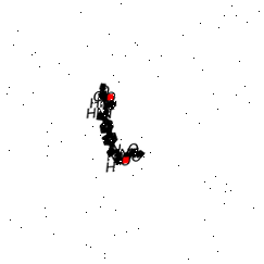 CCOC(=O)C(=O)N[C@H](c1nc(-c2ccc(-c3ccc(-c4c[nH]c([C@@H](NC(=O)C(=O)OCC)C(C)(C)C)n4)cc3)cc2)c[nH]1)C(C)(C)C